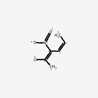 C/C=C\C(=C(/C)Cl)[N+](=O)[O-]